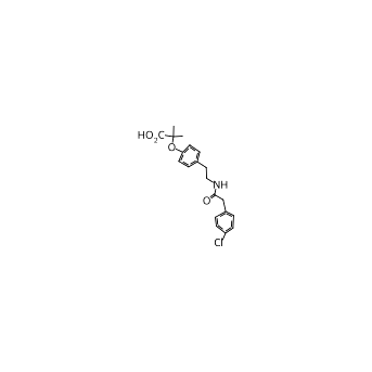 CC(C)(Oc1ccc(CCNC(=O)Cc2ccc(Cl)cc2)cc1)C(=O)O